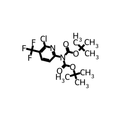 CC(C)(C)OC(=O)N(C(=O)OC(C)(C)C)c1ccc(C(F)(F)F)c(Cl)n1